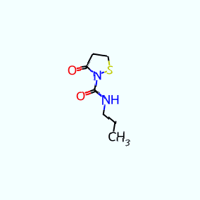 CCCNC(=O)N1SCCC1=O